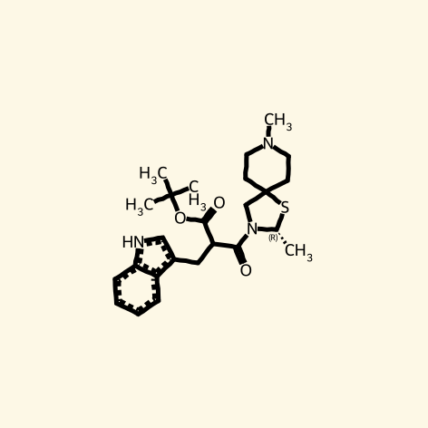 C[C@H]1SC2(CCN(C)CC2)CN1C(=O)C(Cc1c[nH]c2ccccc12)C(=O)OC(C)(C)C